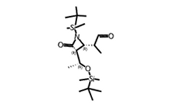 CC(C=O)[C@@H]1[C@H]([C@@H](C)O[Si](C)(C)C(C)(C)C)C(=O)N1[Si](C)(C)C(C)(C)C